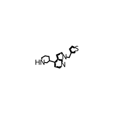 c1cc(C2CCCNC2)c2ccn(Cc3ccsc3)c2n1